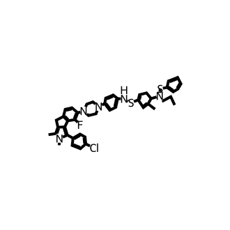 CCCN(Sc1ccccc1)C1CC=C(SNc2ccc(N3CCN(c4ccc5c(c4F)-c4c(c(C)n(C)c4-c4ccc(Cl)cc4)C5)CC3)cc2)C=C1C